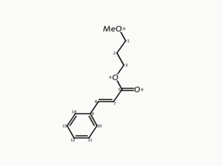 COCCCOC(=O)C=Cc1ccccc1